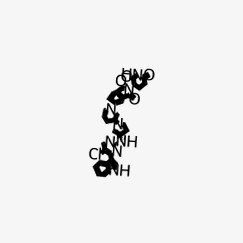 O=C1CCC(N2C(=O)c3ccc(N4CCCC(N5CC[C@@H](Nc6ncc(Cl)c(-c7c[nH]c8ccccc78)n6)C5)C4)cc3C2=O)C(=O)N1